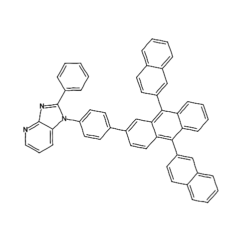 c1ccc(-c2nc3ncccc3n2-c2ccc(-c3ccc4c(-c5ccc6ccccc6c5)c5ccccc5c(-c5ccc6ccccc6c5)c4c3)cc2)cc1